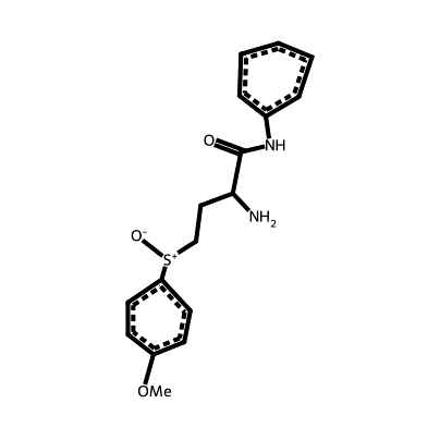 COc1ccc([S+]([O-])CCC(N)C(=O)Nc2ccccc2)cc1